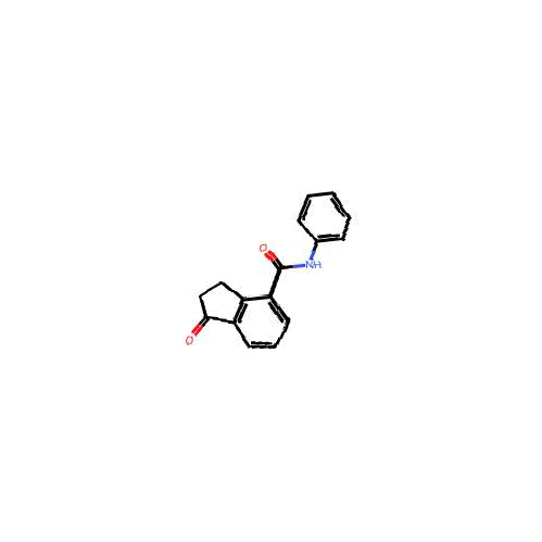 O=C1CCc2c1cccc2C(=O)Nc1ccccc1